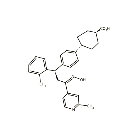 Cc1cc(C(C[C@H](c2ccc([C@H]3CC[C@H](C(=O)O)CC3)cc2)c2ccccc2C)=NO)ccn1